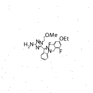 CCOc1cc(F)c(Cn2nc(-c3nc(N)nn3CCOC)c3ccccc32)c(F)c1